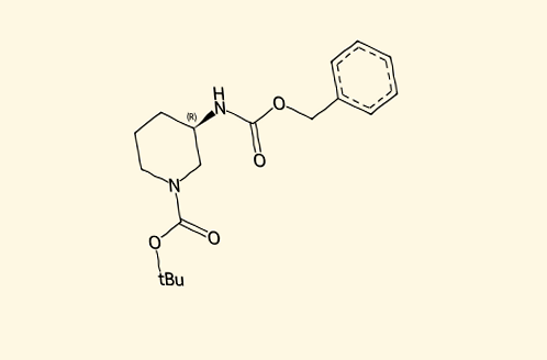 CC(C)(C)OC(=O)N1CCC[C@@H](NC(=O)OCc2ccccc2)C1